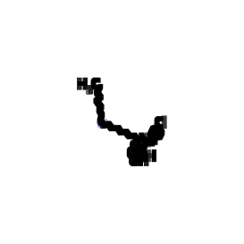 CCCCCCCC/C=C\CCCCCCCC(=O)N[C@H](COP(=O)(O)O)Cc1ccc(Cl)cc1